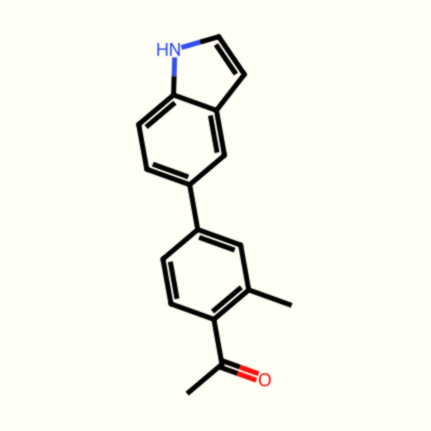 CC(=O)c1ccc(-c2ccc3[nH]ccc3c2)cc1C